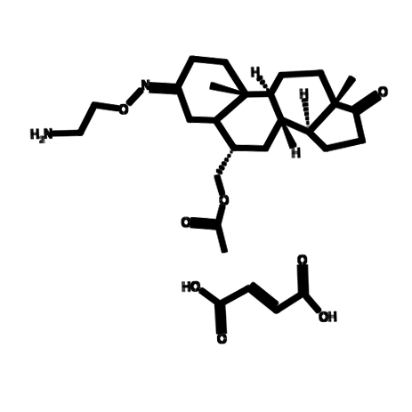 CC(=O)OC[C@H]1C[C@@H]2[C@H](CC[C@]3(C)C(=O)CC[C@@H]23)[C@@]2(C)CC/C(=N/OCCN)CC12.O=C(O)/C=C/C(=O)O